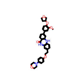 COc1cc(-c2ccc3c(c2)Nc2ccc(CCOc4ccc(N5CCOCC5)cc4)cc2NC3=O)ccc1OC1CCOC1